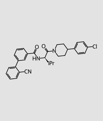 CC(C)[C@@H](NC(=O)c1cccc(-c2ccccc2C#N)c1)C(=O)N1CCC(c2ccc(Cl)cc2)CC1